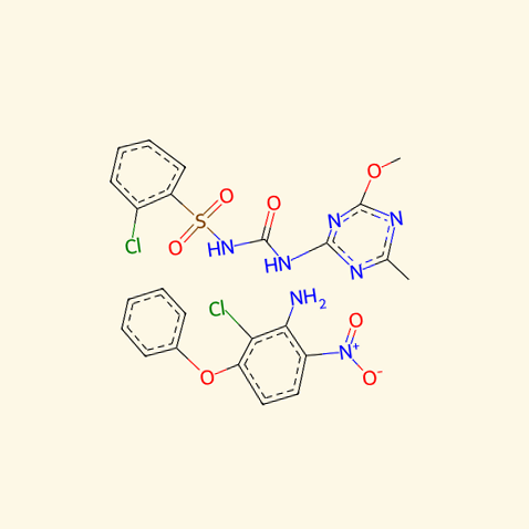 COc1nc(C)nc(NC(=O)NS(=O)(=O)c2ccccc2Cl)n1.Nc1c([N+](=O)[O-])ccc(Oc2ccccc2)c1Cl